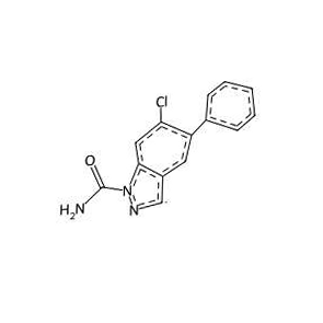 NC(=O)n1n[c]c2cc(-c3ccccc3)c(Cl)cc21